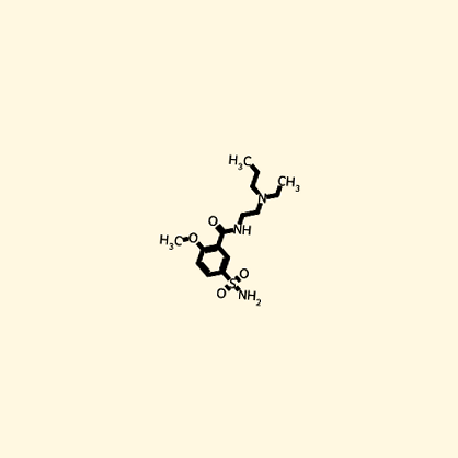 CCCN(CC)CCNC(=O)c1cc(S(N)(=O)=O)ccc1OC